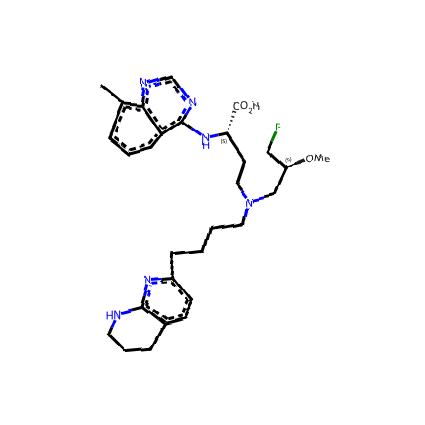 CO[C@H](CF)CN(CCCCc1ccc2c(n1)NCCC2)CC[C@H](Nc1ncnc2c(C)cccc12)C(=O)O